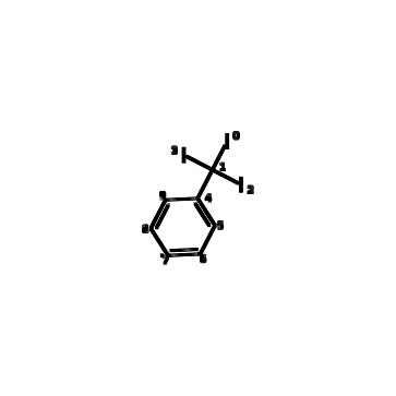 IC(I)(I)c1cc[c]cc1